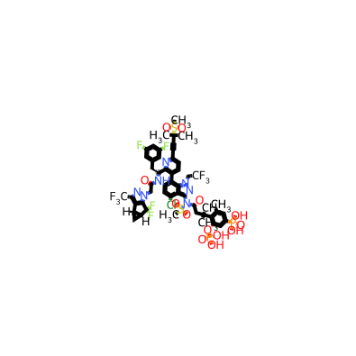 Cc1cc(P(=O)(O)O)cc(OP(=O)(O)O)c1C(C)(C)CC(=O)N(c1nn(CC(F)(F)F)c2c(-c3ccc(C#CC(C)(C)S(C)(=O)=O)nc3[C@H](Cc3cc(F)cc(F)c3)NC(=O)Cn3nc(C(F)(F)F)c4c3C(F)(F)[C@@H]3C[C@H]43)ccc(Cl)c12)S(C)(=O)=O